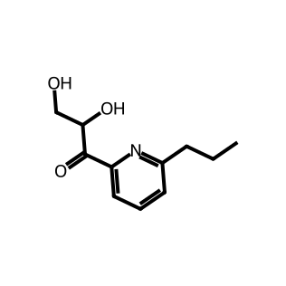 CCCc1cccc(C(=O)C(O)CO)n1